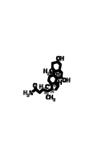 C[C@H](CCC(N)=O)[C@H]1CC[C@H]2[C@@H]3[C@@H](O)CC4C[C@H](O)CC[C@]4(C)[C@H]3CC[C@]12C